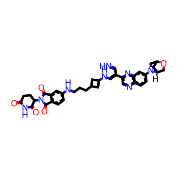 N=C/C(=C\NC1CC(CCCNc2ccc3c(c2)C(=O)N(C2CCC(=O)NC2=O)C3=O)C1)c1cnc2ccc(N3CC4C[C@@H]3CO4)cc2n1